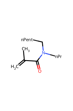 C=C(C)C(=O)N(CCC)CCCCCC